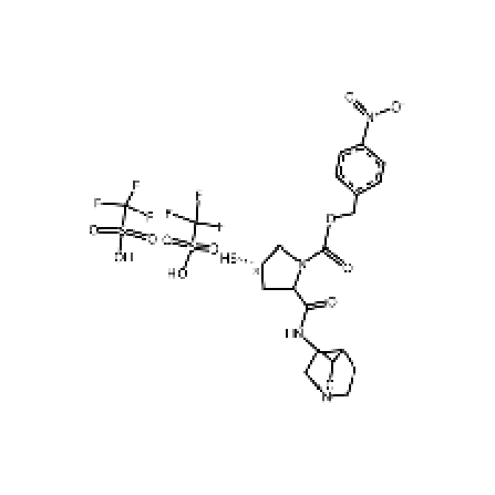 O=C(NC1CN2CCC1CC2)C1C[C@H](S)CN1C(=O)OCc1ccc([N+](=O)[O-])cc1.O=S(=O)(O)C(F)(F)F.O=S(=O)(O)C(F)(F)F